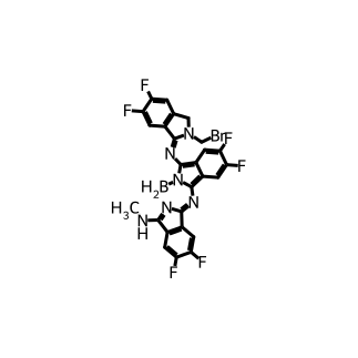 Bn1c(/N=C2\N=C(NC)c3cc(F)c(F)cc32)c2cc(F)c(F)cc2c1/N=C1/c2cc(F)c(F)cc2CN1CBr